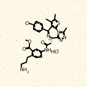 COC(=O)c1cc(NC(=O)C[C@@H]2N=C(c3ccc(Cl)cc3)c3c(sc(C)c3C)-n3c(C)nnc32)ccc1CCCN.Cl